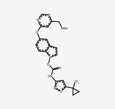 CNCc1cc(Oc2ccc3c(ccn3OC(=O)Nc3cc(C4(C(F)(F)F)CC4)on3)c2)ncn1